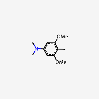 COc1cc(N(C)C)cc(OC)c1C